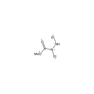 CCNN(CC)C(=O)OC